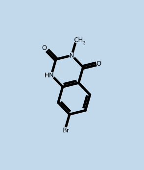 Cn1c(=O)[nH]c2cc(Br)ccc2c1=O